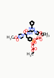 CCOC(=O)OCOP(=O)(OCOC(=O)OCC)c1ccc(CC(NC(=O)c2cc(N3CCC(OC)C3)nc(-c3ccccc3)n2)C(=O)N2CCN(C(=O)OCC)CC2)cc1